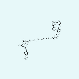 Cc1ccc(NC(=O)c2ccc(CN3CCN(C(=O)CCOCCOCCOCCOCCOCCC(=O)NC(C(=O)N4C[C@H](O)C[C@H]4C(=O)NCc4ccc(-c5scnc5C)cc4)C(C)(C)C)CC3)cc2)cc1Nc1nccc(-c2cccnc2)n1